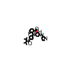 CC(C)N(C(=O)c1ccc(N(c2c(F)cccc2C(N)=O)C2CCN(Cc3cccnc3)CC2)cc1)C(C)C